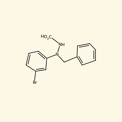 O=C(O)NN(Cc1ccccc1)c1cccc(Br)c1